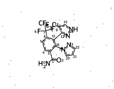 NC(=O)c1ccc(C(F)(F)C(F)(F)F)c(-c2n[nH]cc2C(F)(F)F)c1-n1cccn1